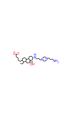 COC(=O)CC[C@@H](C)[C@H]1CCC2C3C[C@@H](O)[C@@H]4C[C@@H](NCCCN5CCN(CCCN)CC5)CC[C@]4(C)C3CC[C@@]21C